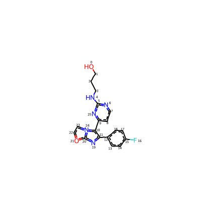 OCCCNc1nccc(-c2c(-c3ccc(F)cc3)nc3occn23)n1